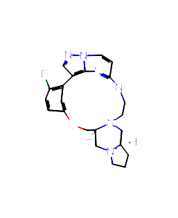 Fc1ccc2cc1-c1cnn3ccc(nc13)NCCN1C[C@H]3CCCN3C[C@H]1CO2